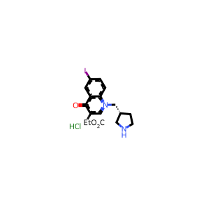 CCOC(=O)c1cn(C[C@@H]2CCNC2)c2ccc(I)cc2c1=O.Cl